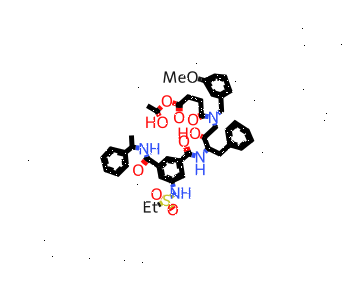 CCS(=O)(=O)Nc1cc(C(=O)NC(C)c2ccccc2)cc(C(=O)NC(Cc2ccccc2)C(O)CN(Cc2cccc(OC)c2)C(=O)CCC(=O)OC(C)O)c1